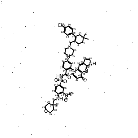 CC1(C)CCC(CN2CCN(c3ccc(C(=O)NS(=O)(=O)c4ccc(NCC5(F)CCOCC5)c([N+](=O)[O-])c4)c(-n4ccc(=O)c5nc6[nH]ccc6cc54)c3)CC2)=C(c2ccc(Cl)cc2)C1